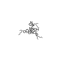 CCCCC(CC)COc1ccc(-c2nc(-c3ccc(OCC(CC)CCCC)c(C)c3O)nc(-c3cn(CC(CC)CCCC)c4ncccc34)n2)c(O)c1C